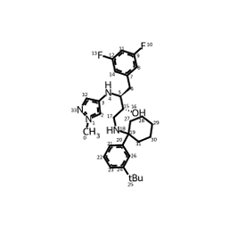 Cn1cc(N[C@@H](Cc2cc(F)cc(F)c2)[C@H](O)CNC2(c3cccc(C(C)(C)C)c3)CCCCC2)cn1